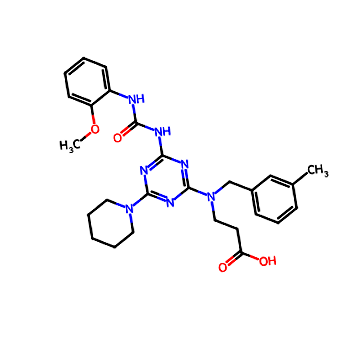 COc1ccccc1NC(=O)Nc1nc(N2CCCCC2)nc(N(CCC(=O)O)Cc2cccc(C)c2)n1